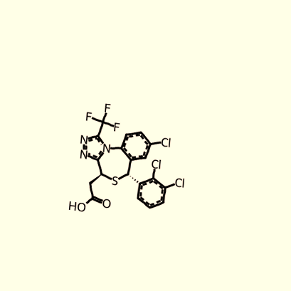 O=C(O)C[C@@H]1S[C@@H](c2cccc(Cl)c2Cl)c2cc(Cl)ccc2-n2c1nnc2C(F)(F)F